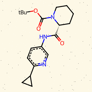 CC(C)(C)OC(=O)N1CCCC[C@@H]1C(=O)Nc1ccc(C2CC2)nc1